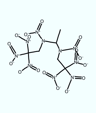 CC(N(CC([N+](=O)[O-])([N+](=O)[O-])[N+](=O)[O-])[N+](=O)[O-])N(CC([N+](=O)[O-])([N+](=O)[O-])[N+](=O)[O-])[N+](=O)[O-]